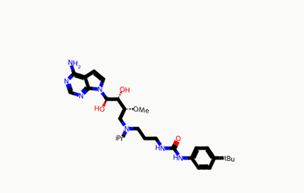 CO[C@H](CN(CCCNC(=O)Nc1ccc(C(C)(C)C)cc1)C(C)C)[C@@H](O)[C@@H](O)n1ccc2c(N)ncnc21